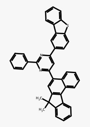 CC1(C)c2ccccc2-c2c1cc(-c1cc(-c3ccc4sc5ccccc5c4c3)nc(-c3ccccc3)n1)c1ccccc21